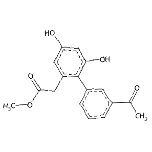 COC(=O)Cc1cc(O)cc(O)c1-c1cccc(C(C)=O)c1